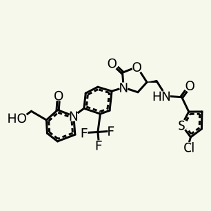 O=C(NC[C@H]1CN(c2ccc(-n3cccc(CO)c3=O)c(C(F)(F)F)c2)C(=O)O1)c1ccc(Cl)s1